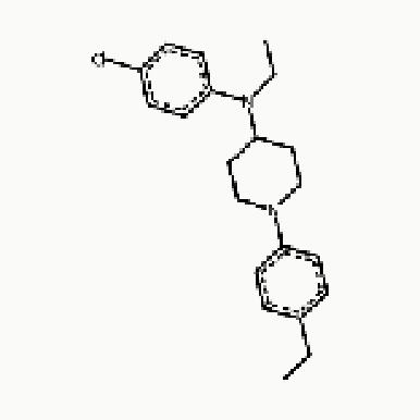 CCc1ccc(N2CCC(N(CC)c3ccc(Cl)cc3)CC2)cc1